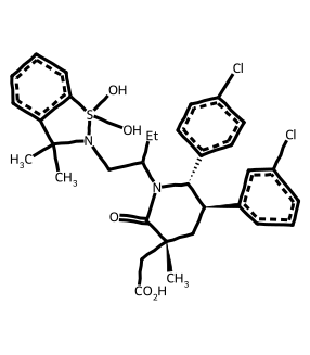 CCC(CN1C(C)(C)c2ccccc2S1(O)O)N1C(=O)[C@@](C)(CC(=O)O)C[C@H](c2cccc(Cl)c2)[C@H]1c1ccc(Cl)cc1